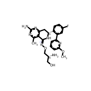 COc1cccc(-c2cc(F)ccc2[C@H]2Cc3nc(N)nc(C)c3/C(=N/OC[C@H](N)CO)N2)n1